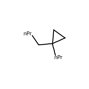 CCCCC1(CCC)CC1